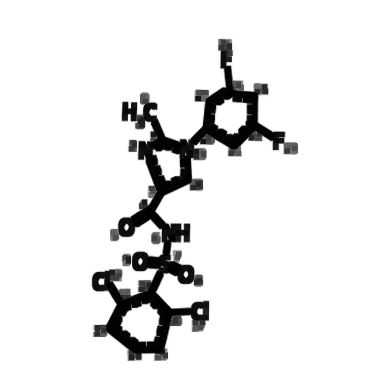 Cc1nc(C(=O)NS(=O)(=O)c2c(Cl)cccc2Cl)cn1-c1cc(F)cc(F)c1